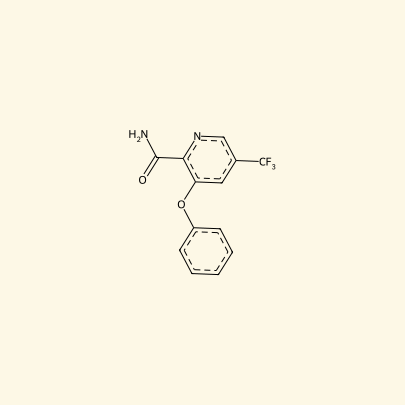 NC(=O)c1ncc(C(F)(F)F)cc1Oc1ccccc1